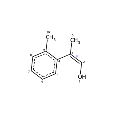 C/C(=C/O)c1ccccc1C